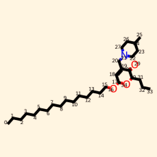 CCCCCCCCCCCCCCCCOC1C=C(CN2CCC(C)CC2)C(=O)C(CCC)O1